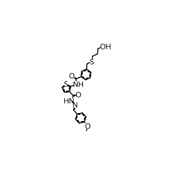 COc1ccc(/C=N/NC(=O)c2ccsc2NC(=O)c2cccc(CSCCCO)c2)cc1